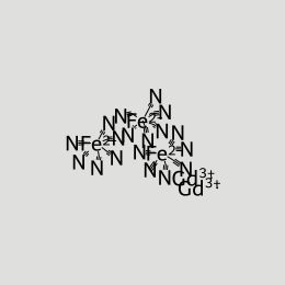 N#[C][Fe-2]([C]#N)([C]#N)([C]#N)([C]#N)[C]#N.N#[C][Fe-2]([C]#N)([C]#N)([C]#N)([C]#N)[C]#N.N#[C][Fe-2]([C]#N)([C]#N)([C]#N)([C]#N)[C]#N.[Gd+3].[Gd+3]